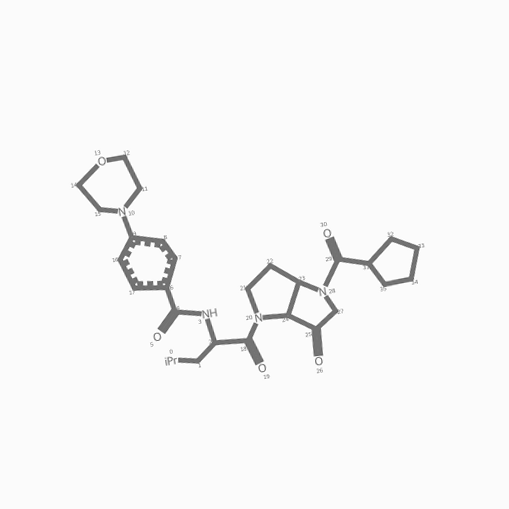 CC(C)CC(NC(=O)c1ccc(N2CCOCC2)cc1)C(=O)N1CCC2C1C(=O)CN2C(=O)C1CCCC1